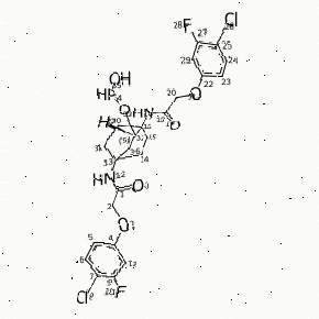 O=C(COc1ccc(Cl)c(F)c1)NC12CCC(NC(=O)COc3ccc(Cl)c(F)c3)(CC1)[C@@H](OPO)C2